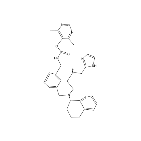 Cc1ncnc(C)c1OC(=O)NCc1cccc(CN(CCNCc2ncc[nH]2)C2CCCc3cccnc32)c1